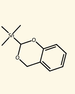 [CH3][Sn]([CH3])([CH3])[CH]1OCc2ccccc2O1